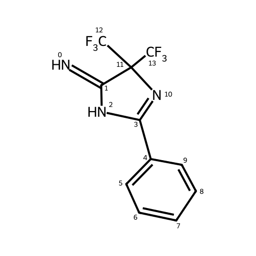 N=C1NC(c2ccccc2)=NC1(C(F)(F)F)C(F)(F)F